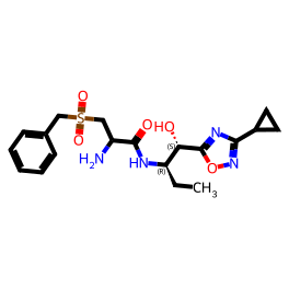 CC[C@@H](NC(=O)C(N)CS(=O)(=O)Cc1ccccc1)[C@H](O)c1nc(C2CC2)no1